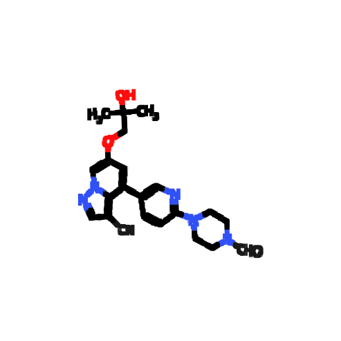 CC(C)(O)COc1cc(-c2ccc(N3CCN(C=O)CC3)nc2)c2c(C#N)cnn2c1